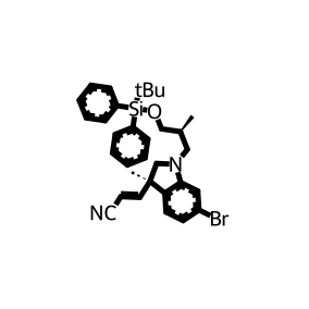 C[C@H](CO[Si](c1ccccc1)(c1ccccc1)C(C)(C)C)CN1C[C@](C)(/C=C/C#N)c2ccc(Br)cc21